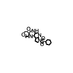 O=C1Nc2cnc3c(ccn3S(=O)(=O)c3ccccc3)c2NC12CCOCC2